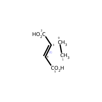 CC.O=C(O)/C=C/C(=O)O